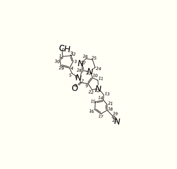 Cc1ccc(CN2C(=O)C3=C(CN(Cc4cccc(C#N)c4)C3)N3CCCN=C23)cc1